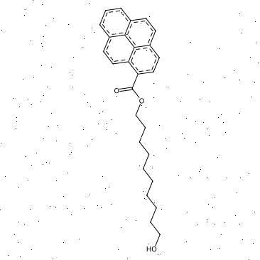 O=C(OCCCCCCCCCCO)c1ccc2ccc3cccc4ccc1c2c34